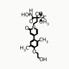 Cc1cc(-c2ccn(CCC(C)(C(=O)NO)S(C)(=O)=O)c(=O)c2)c(C)cc1OCCO